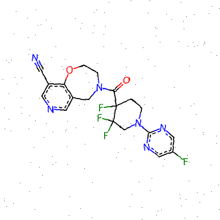 N#Cc1cncc2c1OCCN(C(=O)C1(F)CCN(c3ncc(F)cn3)CC1(F)F)C2